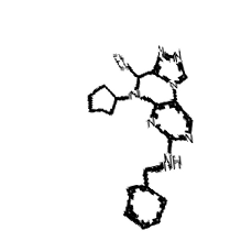 CCC1c2nncn2-c2cnc(NCc3ccccc3)nc2N1C1CCCC1